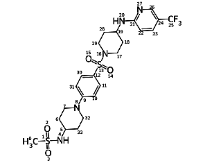 CS(=O)(=O)NC1CCN(c2ccc(S(=O)(=O)N3CCC(Nc4ccc(C(F)(F)F)cn4)CC3)cc2)CC1